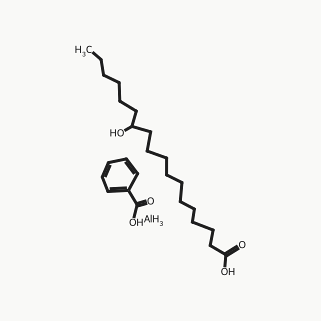 CCCCCCC(O)CCCCCCCCCCC(=O)O.O=C(O)c1ccccc1.[AlH3]